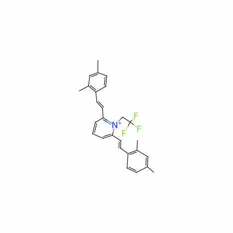 Cc1ccc(/C=C/c2cccc(/C=C/c3ccc(C)cc3C)[n+]2CC(F)(F)F)c(C)c1